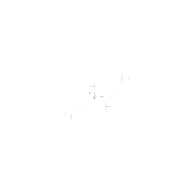 CCBNCC